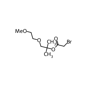 COCCOCC(C)(C)OC(=O)CBr